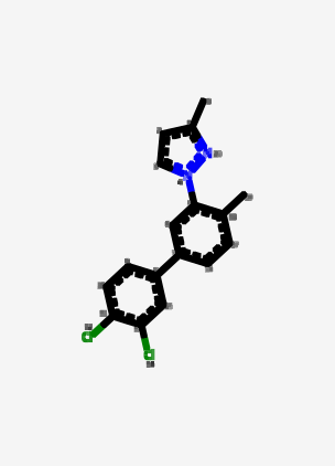 Cc1ccn(-c2cc(-c3ccc(Cl)c(Cl)c3)ccc2C)n1